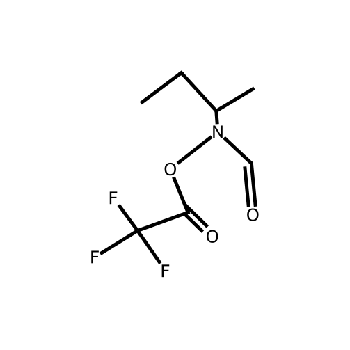 CCC(C)N(C=O)OC(=O)C(F)(F)F